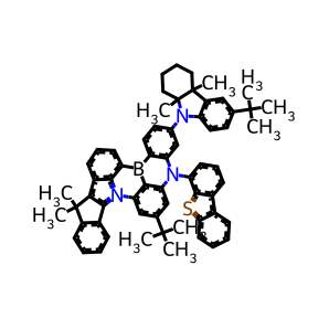 CC(C)(C)c1cc2c3c(c1)-n1c4c(c5cccc(c51)B3c1ccc(N3c5ccc(C(C)(C)C)cc5C5(C)CCCCC35C)cc1N2c1cccc2c1sc1ccccc12)C(C)(C)c1ccccc1-4